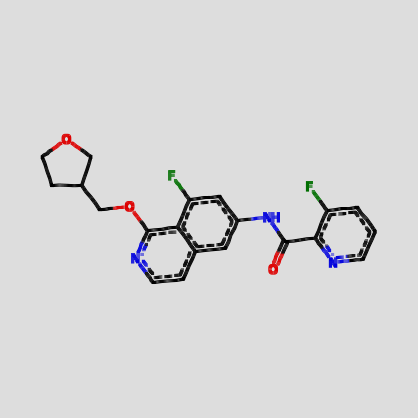 O=C(Nc1cc(F)c2c(OCC3CCOC3)nccc2c1)c1ncccc1F